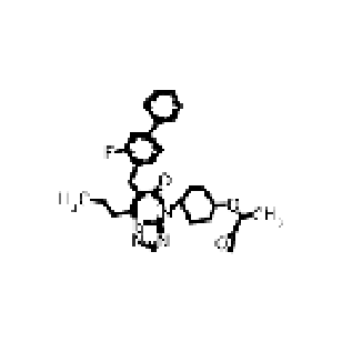 CCCc1c(Cc2ccc(-c3ccccc3)cc2F)c(=O)n(C2CCC(OC(C)C3CO3)CC2)c2ncnn12